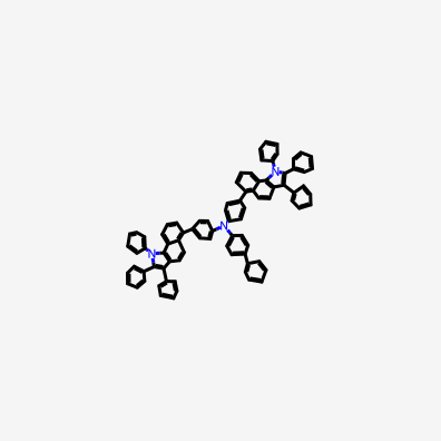 c1ccc(-c2ccc(N(c3ccc(-c4cccc5c4ccc4c(-c6ccccc6)c(-c6ccccc6)n(-c6ccccc6)c45)cc3)c3ccc(-c4cccc5c4ccc4c(-c6ccccc6)c(-c6ccccc6)n(-c6ccccc6)c45)cc3)cc2)cc1